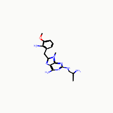 COc1cccc(Cc2nc3c(N)nc(NCC(C)N)nc3n2C)c1N